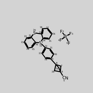 F[B-](F)(F)F.N#CC12CC(c3ccc([S+]4c5ccccc5Sc5ccccc54)cc3)(C1)C2